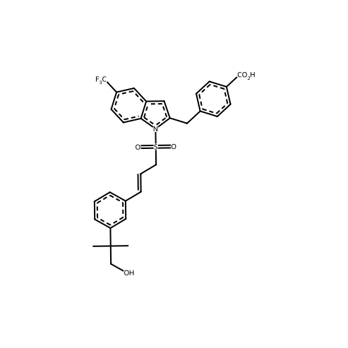 CC(C)(CO)c1cccc(C=CCS(=O)(=O)n2c(Cc3ccc(C(=O)O)cc3)cc3cc(C(F)(F)F)ccc32)c1